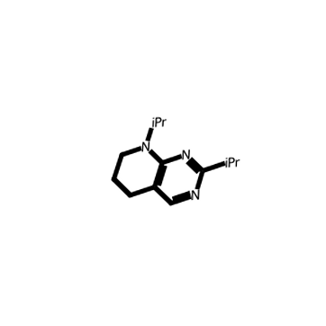 CC(C)c1ncc2c(n1)N(C(C)C)CCC2